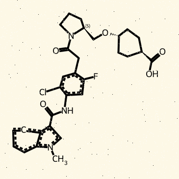 Cn1cc(C(=O)Nc2cc(F)c(CC(=O)N3CCC[C@H]3CO[C@H]3CC[C@H](C(=O)O)CC3)cc2Cl)c2ccccc21